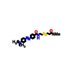 CNC(=O)CCSSCCNC(=O)c1ccc(/N=N/c2ccc(N(C)C)cc2)cc1